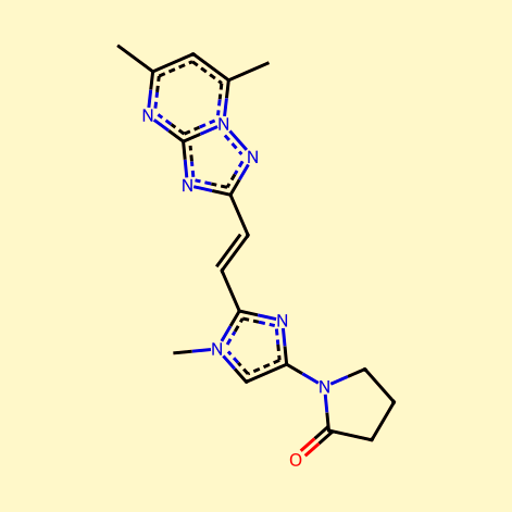 Cc1cc(C)n2nc(C=Cc3nc(N4CCCC4=O)cn3C)nc2n1